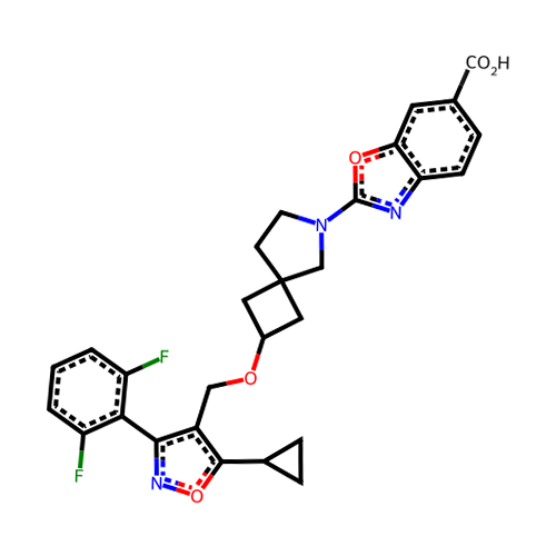 O=C(O)c1ccc2nc(N3CCC4(CC(OCc5c(-c6c(F)cccc6F)noc5C5CC5)C4)C3)oc2c1